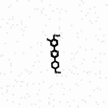 CCCCCCCc1ccc(-c2ncc(C3CCC(CCCCCC)CC3)cn2)cc1F